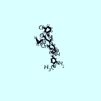 COc1ccc(CNS(=O)(=O)N2CCN(c3cnn(-c4cccc(Cl)c4)c(=O)c3OCC3(C)CC3)CC2)cc1N